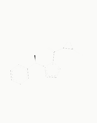 CC1OC1C(=O)c1ccnn1[C@H](C)c1ccccc1